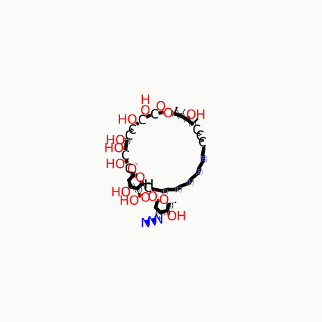 CO[C@]12CC(O)CC(O)[C@H](O)CCC(O)CC(O)CC(=O)O[C@@H](C)[C@H](C)[C@H](O)[C@@H](C)CCCC/C=C/C=C/C=C/C=C/C=C/C(OC3C[C@@H](N=[N+]=[N-])[C@H](O)[C@@H](C)O3)C[C@H](O1)[C@H](C(=O)O)[C@@H](O)C2